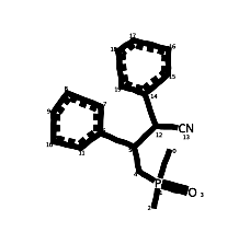 CP(C)(=O)CC(c1ccccc1)C(C#N)c1ccccc1